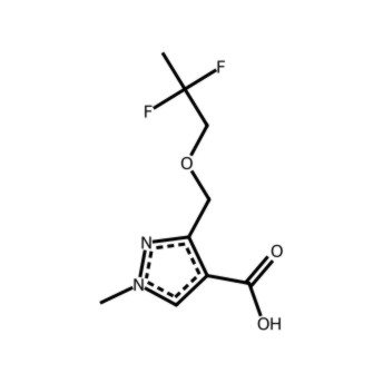 Cn1cc(C(=O)O)c(COCC(C)(F)F)n1